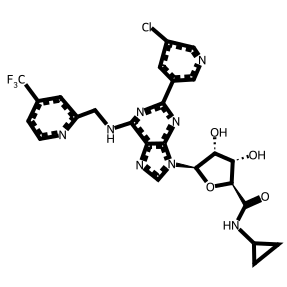 O=C(NC1CC1)[C@H]1O[C@@H](n2cnc3c(NCc4cc(C(F)(F)F)ccn4)nc(-c4cncc(Cl)c4)nc32)[C@H](O)[C@@H]1O